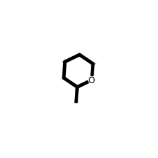 CC1C[CH]C[CH]O1